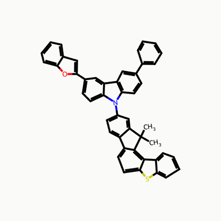 CC1(C)c2cc(-n3c4ccc(-c5ccccc5)cc4c4cc(-c5cc6ccccc6o5)ccc43)ccc2-c2ccc3sc4ccccc4c3c21